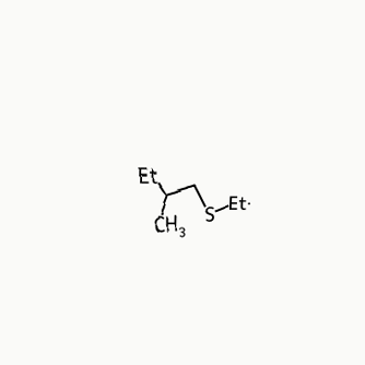 C[CH]SCC(C)CC